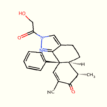 C[C@@H]1C(=O)C(C#N)=C[C@]2(c3ccccc3)c3nn(C(=O)CO)cc3CC[C@@H]12